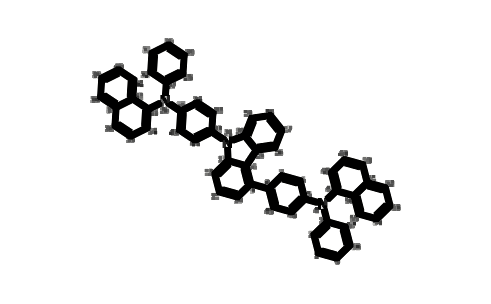 c1ccc(N(c2ccc(-c3cccc4c3c3ccccc3n4-c3ccc(N(c4ccccc4)c4cccc5ccccc45)cc3)cc2)c2cccc3ccccc23)cc1